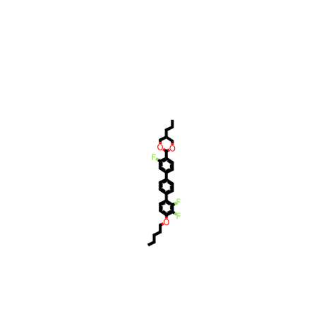 CCCCCOc1ccc(-c2ccc(-c3ccc(C4OCC(CCC)CO4)c(F)c3)cc2)c(F)c1F